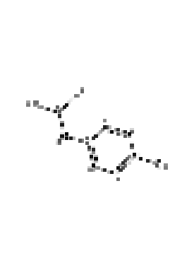 FC(F)Oc1c[c]c(Cl)cc1